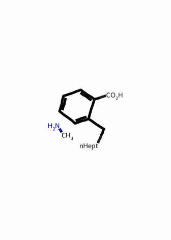 CCCCCCCCc1ccccc1C(=O)O.CN